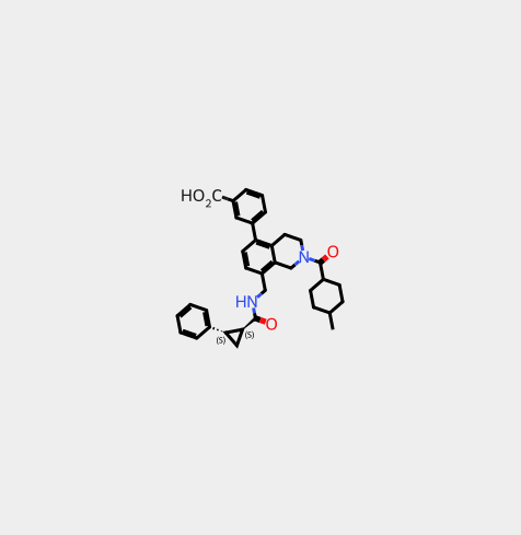 CC1CCC(C(=O)N2CCc3c(-c4cccc(C(=O)O)c4)ccc(CNC(=O)[C@H]4C[C@@H]4c4ccccc4)c3C2)CC1